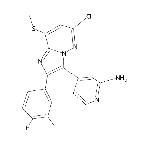 CSc1cc(Cl)nn2c(-c3ccnc(N)c3)c(-c3ccc(F)c(C)c3)nc12